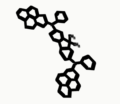 CC1(C)c2cc(N(c3ccccc3)c3cc4ccc5cccc6ccc(c3)c4c56)ccc2-c2ccc(N(c3ccccc3)c3cc4ccc5cccc6ccc(c3)c4c56)cc21